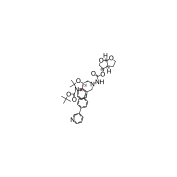 CC(C)(C)OC(=O)N1[C@@H](Cc2ccc(-c3cccnc3)cc2)[C@H](CN(Cc2ccccc2)NC(=O)O[C@H]2CO[C@H]3OCC[C@H]32)OC1(C)C